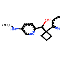 O=C(O)Nc1ccc(C(O)C2(c3ccccn3)CCC2)nc1